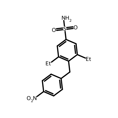 CCc1cc(S(N)(=O)=O)cc(CC)c1Cc1ccc([N+](=O)[O-])cc1